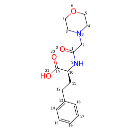 O=C(CN1CCOCC1)N[C@@H](CCc1ccccc1)C(=O)O